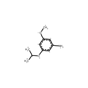 COc1cc(N)cc(OC(C)C)c1